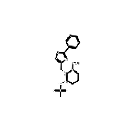 CCOC(=O)N1CCC[C@H](NS(C)(=O)=O)[C@@H]1Cc1csc(-c2ccccc2)n1